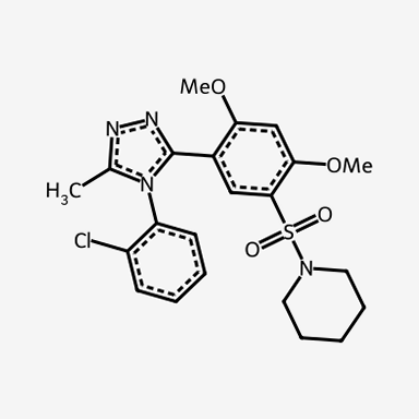 COc1cc(OC)c(S(=O)(=O)N2CCCCC2)cc1-c1nnc(C)n1-c1ccccc1Cl